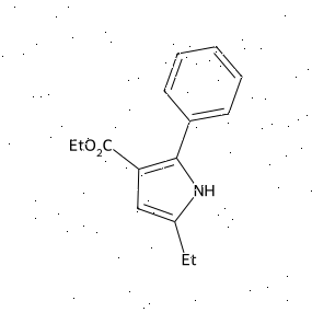 CCOC(=O)c1cc(CC)[nH]c1-c1ccccc1